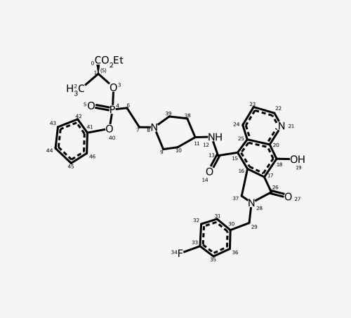 CCOC(=O)[C@H](C)OP(=O)(CCN1CCC(NC(=O)c2c3c(c(O)c4ncccc24)C(=O)N(Cc2ccc(F)cc2)C3)CC1)Oc1ccccc1